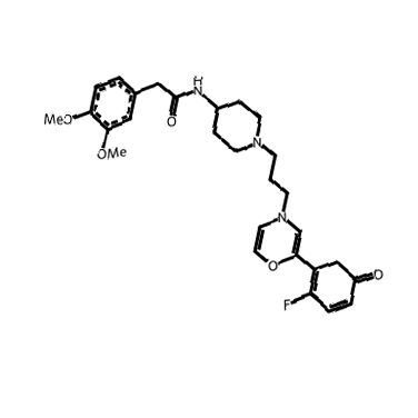 COc1ccc(CC(=O)NC2CCN(CCCN3C=COC(C4=C(F)C=CC(=O)C4)=C3)CC2)cc1OC